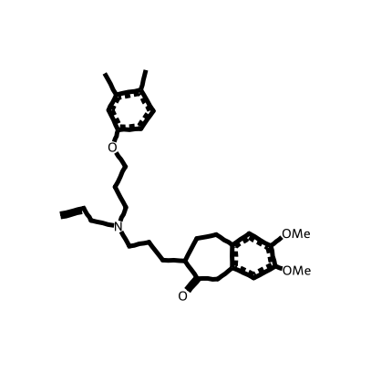 C=CCN(CCCOc1ccc(C)c(C)c1)CCCC1CCc2cc(OC)c(OC)cc2CC1=O